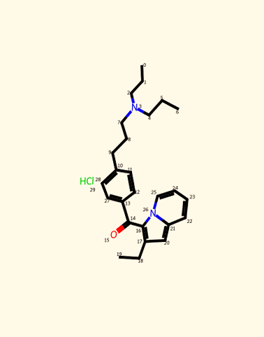 CCCN(CCC)CCCc1ccc(C(=O)c2c(CC)cc3ccccn23)cc1.Cl